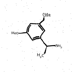 COc1cc(OC)cc([C@H](C)N)c1